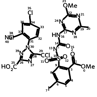 COC(=O)c1ccc(I)cc1S(=O)(=O)[N-]C(=O)Nc1nc(C)nc(OC)n1.O=C(O)c1nc(C(Cl)(Cl)Cl)n(-c2ccc(Cl)cc2Cl)n1.[Na+]